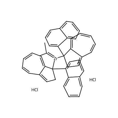 C[C](C)=[Zr]([C]1(c2cccc3ccccc23)CC=C2C=CC=CC=C21)[C]1(c2cccc3ccccc23)CC=C2C=CC=CC=C21.Cl.Cl